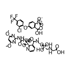 COc1cc(OC)nc(NC(=O)NS(=O)(=O)c2ncccc2C(=O)N(C)C)n1.O=C(O)CNCP(=O)(O)O.O=C(O)c1cc(Oc2ccc(C(F)(F)F)cc2Cl)ccc1[N+](=O)[O-]